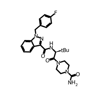 CC(C)(C)[C@H](NC(=O)c1nn(Cc2ccc(F)cc2)c2ccccc12)C(=O)N1CCN(C(N)=O)CC1